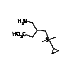 C[Si](C)(CC(CN)CC(=O)O)C1CC1